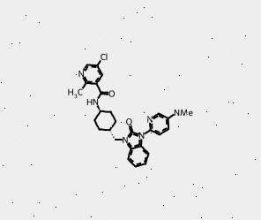 CNc1ccc(-n2c(=O)n(C[C@H]3CC[C@H](NC(=O)c4cc(Cl)cnc4C)CC3)c3ccccc32)nc1